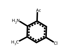 CC(=O)c1cc(Cl)cc(C)c1N